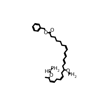 CC(/C=C\C/C=C\CC(C/C=C/C=C/C=C\CCCCCC(=O)OCc1ccccc1)OP)OPP